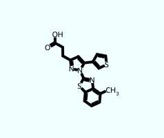 Cc1cccc2sc(-n3nc(CCC(=O)O)cc3-c3ccsc3)nc12